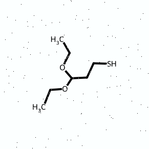 CCOC(CCS)OCC